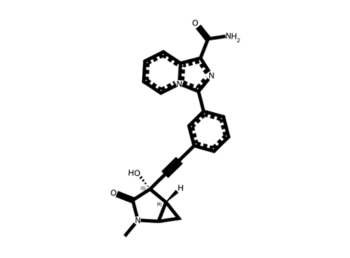 CN1C(=O)[C@@](O)(C#Cc2cccc(-c3nc(C(N)=O)c4ccccn34)c2)[C@@H]2CC21